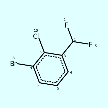 FC(F)c1cccc(Br)c1Cl